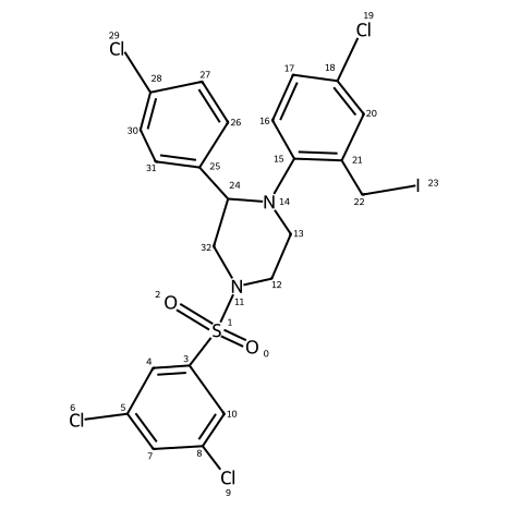 O=S(=O)(c1cc(Cl)cc(Cl)c1)N1CCN(c2ccc(Cl)cc2CI)C(c2ccc(Cl)cc2)C1